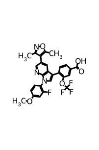 COc1ccc(-n2cc(-c3ccc(C(=O)O)cc3OC(F)(F)F)c3cc(-c4c(C)noc4C)cnc32)c(F)c1